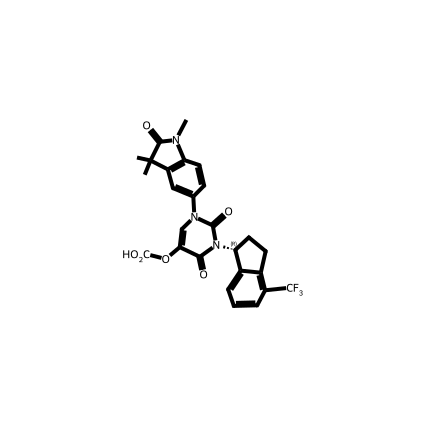 CN1C(=O)C(C)(C)c2cc(-n3cc(OC(=O)O)c(=O)n([C@@H]4CCc5c4cccc5C(F)(F)F)c3=O)ccc21